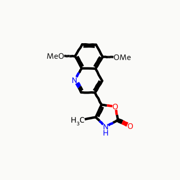 COc1ccc(OC)c2ncc(-c3oc(=O)[nH]c3C)cc12